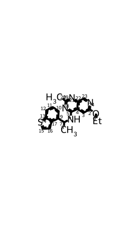 CCOc1cc2c(NC(C)c3cccc4sccc34)nc(C)nc2cn1